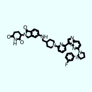 O=C1CCC(N2Cc3cc(NCC4CCN(c5cccc(-c6cnc7ccc(N8CCC[C@@H]8c8cccc(F)c8)nn67)n5)CC4)ccc3C2=O)C(=O)N1